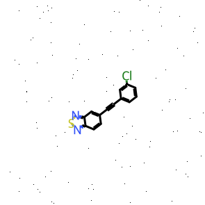 Clc1cccc(C#Cc2ccc3nsnc3c2)c1